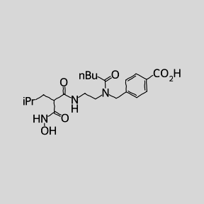 CCCCC(=O)N(CCNC(=O)C(CC(C)C)C(=O)NO)Cc1ccc(C(=O)O)cc1